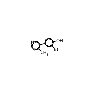 CCc1cc(-c2cnccc2C)ccc1O